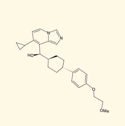 COCCOc1ccc([C@H]2CC[C@H]([C@@H](O)c3c(C4CC4)ccn4cncc34)CC2)cc1